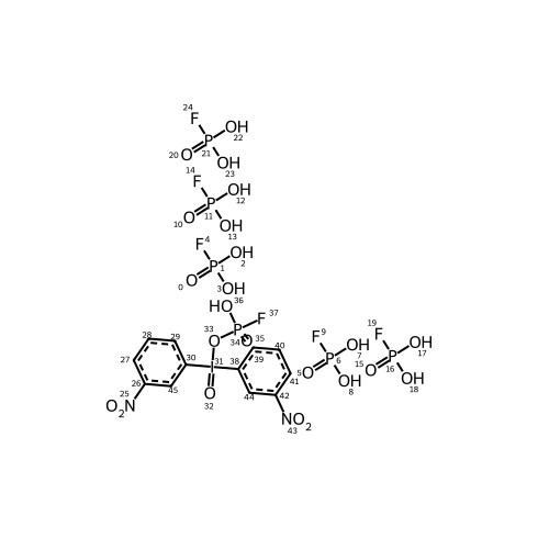 O=P(O)(O)F.O=P(O)(O)F.O=P(O)(O)F.O=P(O)(O)F.O=P(O)(O)F.O=[N+]([O-])c1cccc(I(=O)(OP(=O)(O)F)c2cccc([N+](=O)[O-])c2)c1